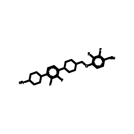 CCCCc1ccc(OCC2CCC(c3ccc(C4CCC(CCC)CC4)c(F)c3F)CC2)c(F)c1F